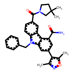 Cc1noc(C)c1-c1cc(C(N)=O)c2c3cc(C(=O)N4CCC(C)(C)C4)ccc3n(Cc3ccccc3)c2c1